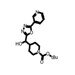 CC(C)(C)OC(=O)N1CCC(C(O)c2nnc(-c3cccnc3)o2)CC1